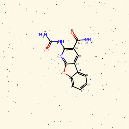 NC(=O)Nc1nc2oc3ccccc3c2cc1C(N)=O